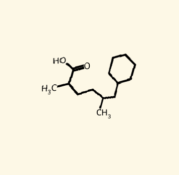 CC(CCC(C)C(=O)O)CC1CCCCC1